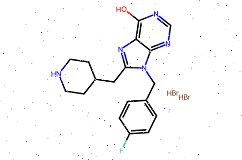 Br.Br.Oc1ncnc2c1nc(CC1CCNCC1)n2Cc1ccc(F)cc1